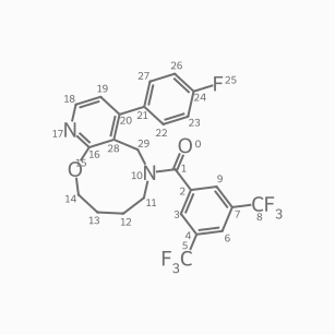 O=C(c1cc(C(F)(F)F)cc(C(F)(F)F)c1)N1CCCCOc2nccc(-c3ccc(F)cc3)c2C1